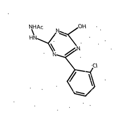 CC(=O)NNc1nc(O)nc(-c2ccccc2Cl)n1